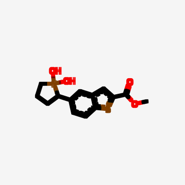 COC(=O)c1cc2cc(C3CCCS3(O)O)ccc2s1